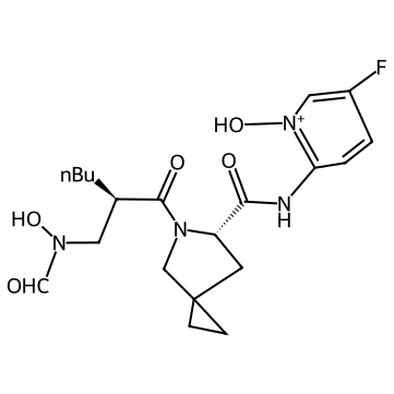 CCCC[C@H](CN(O)C=O)C(=O)N1CC2(CC2)C[C@H]1C(=O)Nc1ccc(F)c[n+]1O